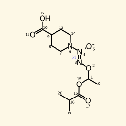 CC(O/N=[N+](\[O-])N1CCC(C(=O)O)CC1)OC(=O)C(C)C